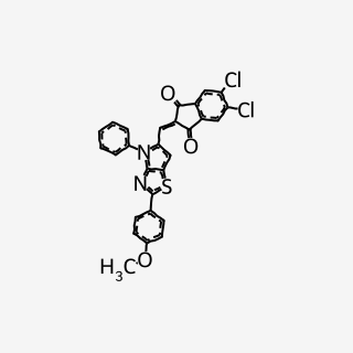 COc1ccc(-c2nc3c(cc(C=C4C(=O)c5cc(Cl)c(Cl)cc5C4=O)n3-c3ccccc3)s2)cc1